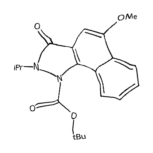 COc1cc2c(=O)n(C(C)C)n(C(=O)OC(C)(C)C)c2c2ccccc12